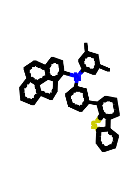 Cc1cc(C)cc(N(c2cccc(-c3cccc4c3sc3ccccc34)c2)c2ccc3ccc4cccc5ccc2c3c45)c1